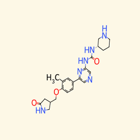 Cc1cc(-c2cncc(NC(=O)N[C@H]3CCCNC3)n2)ccc1OCC1CNC(=O)C1